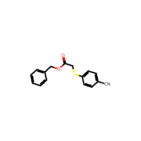 N#Cc1ccc(SCC(=O)OCc2ccccc2)cc1